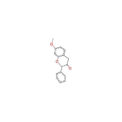 COc1ccc2c(c1)OC(c1ccccc1)C(=O)C2